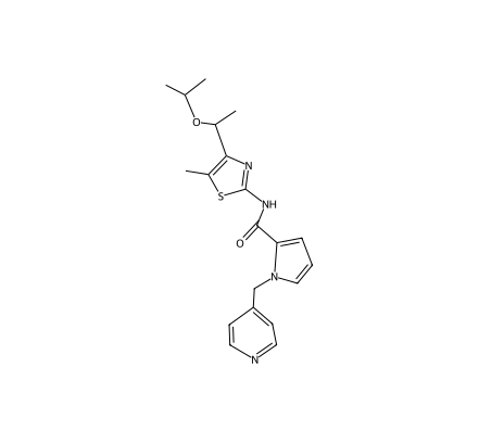 Cc1sc(NC(=O)c2cccn2Cc2ccncc2)nc1C(C)OC(C)C